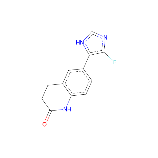 O=C1CCc2cc(-c3[nH]cnc3F)ccc2N1